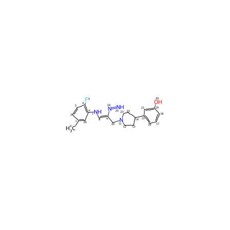 Cc1ccc(F)c(N/C=C(/CN2CCC(c3cccc(O)c3)CC2)N=N)c1